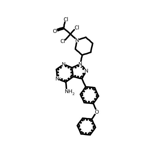 Nc1ncnc2c1c(-c1ccc(Oc3ccccc3)cc1)nn2C1CCCN(C(Cl)(Cl)C(=O)Cl)C1